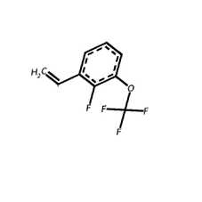 C=[C]c1cccc(OC(F)(F)F)c1F